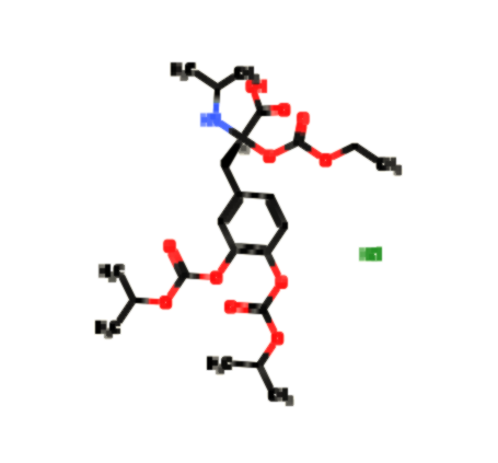 CCOC(=O)O[C@](Cc1ccc(OC(=O)OC(C)C)c(OC(=O)OC(C)C)c1)(NC(C)C)C(=O)O.Cl